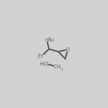 CCCCC(CC)C1CO1.CO